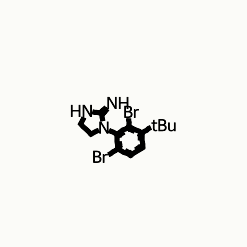 CC(C)(C)c1ccc(Br)c(N2CCNC2=N)c1Br